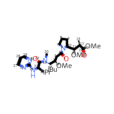 CC[C@H](C)[C@@H]([C@@H](CC(=O)N1CCCC1[C@H](OC)[C@@H](C)C(=O)OC)OC)N(C)C(=O)C(Nc1ncccn1)C(C)C